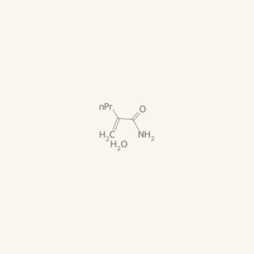 C=C(CCC)C(N)=O.O